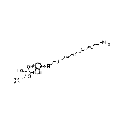 C=P(C)(C)CC[C@H]1OC(n2cnc3c(NCCCOCCOCCOCCOCCOCCCN)ccnc32)[C@H](O)[C@@H]1O